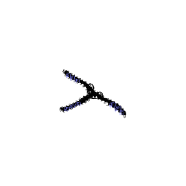 CC/C=C/C/C=C/C/C=C/CCCCCCCC(=O)OCC(COC(=O)CCCCCCC/C=C/C/C=C/C/C=C/CC)OC(=O)CCCCCCC/C=C/C/C=C/C/C=C/CC